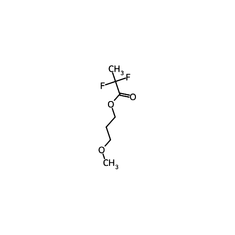 COCCCOC(=O)C(C)(F)F